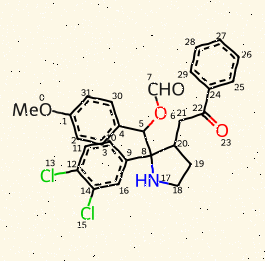 COc1ccc(C(OC=O)C2(c3ccc(Cl)c(Cl)c3)NCCC2CC(=O)c2ccccc2)cc1